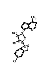 Cc1ncnc2c1ccn2[C@@H]1O[C@H]([C@@H]2SCc3cc(Cl)ccc32)[C@@H](O)[C@H]1O